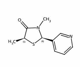 C[C@@H]1S[C@H](c2cccnc2)N(C)C1=O